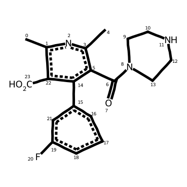 Cc1nc(C)c(C(=O)N2CCNCC2)c(-c2cccc(F)c2)c1C(=O)O